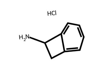 Cl.NC1Cc2ccccc21